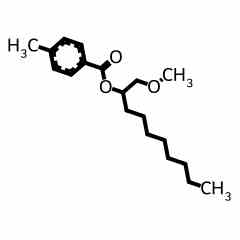 CCCCCCCCC(COC)OC(=O)c1ccc(C)cc1